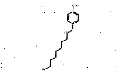 CC(C)CCCCCCCNCc1ccc(OCC(C)C)cc1